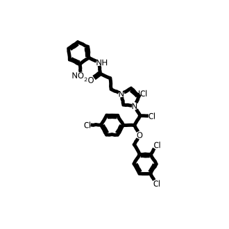 Cl.O=C(CCN1C=CN(C(Cl)C(OCc2ccc(Cl)cc2Cl)c2ccc(Cl)cc2)C1)Nc1ccccc1[N+](=O)[O-]